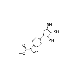 COC(=O)n1ccc2cc(C3CC(S)C(S)C3S)ccc21